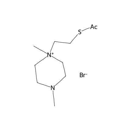 CC(=O)SCC[N+]1(C)CCN(C)CC1.[Br-]